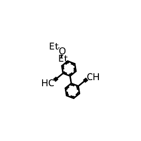 C#Cc1ccccc1-c1ccccc1C#C.CCOCC